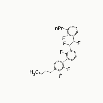 C=CCCc1ccc(-c2cccc(C(F)C(F)c3cccc(CCC)c3F)c2F)c(F)c1F